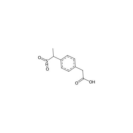 CC(c1ccc(CC(=O)O)cc1)[SH](=O)=O